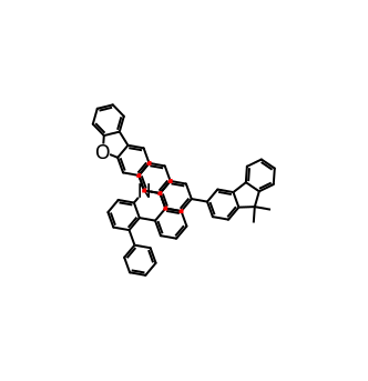 CC1(C)c2ccccc2-c2cc(-c3ccc(N(c4ccc5c(c4)oc4ccccc45)c4cccc(-c5ccccc5)c4-c4ccccc4-c4ccccc4)cc3)ccc21